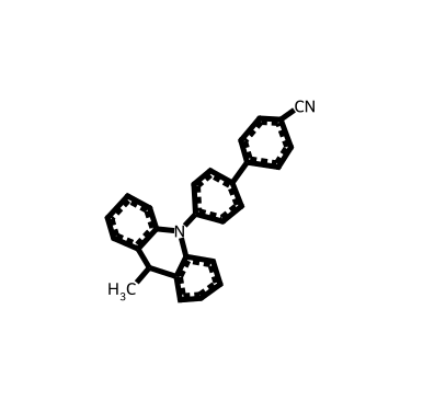 CC1c2ccccc2N(c2ccc(-c3ccc(C#N)cc3)cc2)c2ccccc21